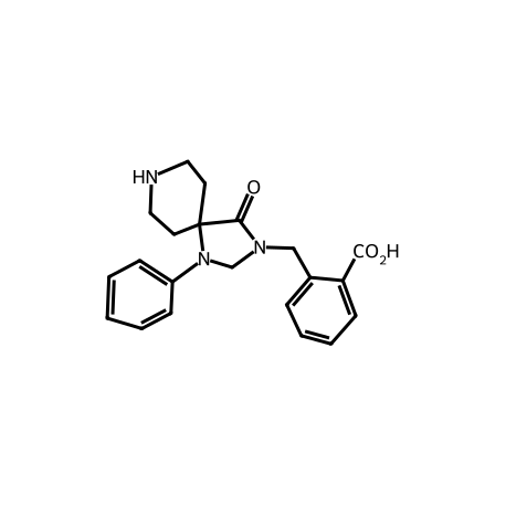 O=C(O)c1ccccc1CN1CN(c2ccccc2)C2(CCNCC2)C1=O